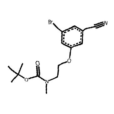 CN(CCOc1cc(Br)cc(C#N)c1)C(=O)OC(C)(C)C